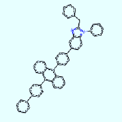 c1ccc(Cc2nc3cc(-c4ccc(-c5c6ccccc6c(-c6ccc(-c7ccccc7)cc6)c6ccccc56)cc4)ccc3n2-c2ccccc2)cc1